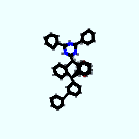 c1ccc(-c2cccc(C34c5ccccc5C(c5nc(-c6ccccc6)nc(-c6ccccc6)n5)(c5ccccc53)c3ccccc34)c2)cc1